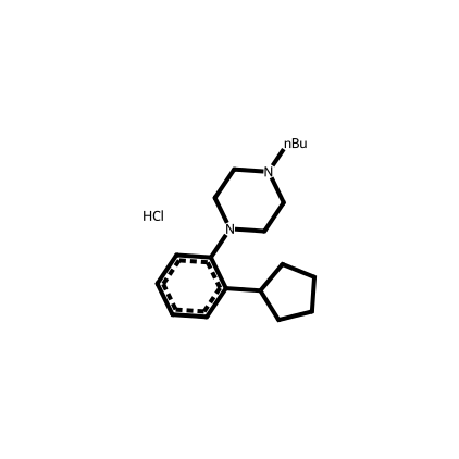 CCCCN1CCN(c2ccccc2C2CCCC2)CC1.Cl